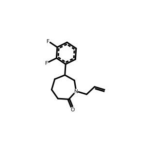 C=CCN1CC(c2cccc(F)c2F)CCCC1=O